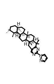 C[C@@H]1[C@H]2C3=CC[C@@H]4[C@@]5(C)Cc6cnc(-n7cccn7)nc6C(C)(C)[C@@H]5CC[C@@]4(C)[C@]3(C)CC[C@@H]2CC[C@H]1C